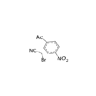 CC(=O)c1ccc([N+](=O)[O-])cc1.N#CCBr